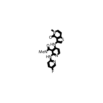 CNC(=O)c1c(Nc2csc3ccn(C)c(=O)c23)ccnc1Nc1ccc(F)cn1